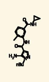 CCCCn1ncc(C(=O)Nc2cc(C(=O)NC3CC3)ccc2C)c1N